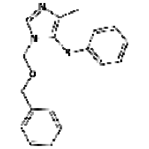 Cc1ncn(COCc2ccccc2)c1Sc1ccccc1